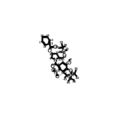 COc1cc(C(=O)N2CC(OC(=O)c3ccccc3)CC2CO[Si](C)(C)C(C)(C)C)c([N+](=O)[O-])cc1O[Si](C(C)C)(C(C)C)C(C)C